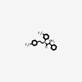 NC(C(=O)N(CCc1ccc(C(F)(F)F)cc1)c1cccc(C(F)(F)F)c1)c1ccccc1